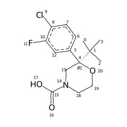 CC(C)(C)[C@@]1(c2ccc(Cl)c(F)c2)CN(C(=O)O)CCO1